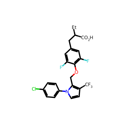 CCC(Cc1cc(F)c(OCc2c(C(F)(F)F)ccn2-c2ccc(Cl)cc2)c(F)c1)C(=O)O